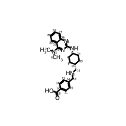 CN(C)c1nc(N[C@H]2CC[C@@H](CNCc3ccc(C(=O)O)cc3)CC2)nc2ccccc12